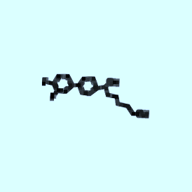 OCCCCCC(O)c1ccc(-c2ccc(F)c(F)c2)cc1